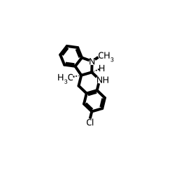 CN1c2ccccc2[C@]2(C)Cc3cc(Cl)ccc3N[C@H]12